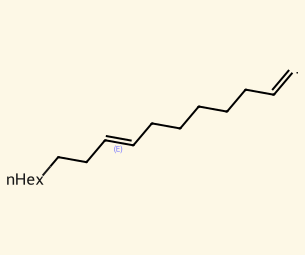 [CH]=CCCCCC/C=C/CCCCCCCC